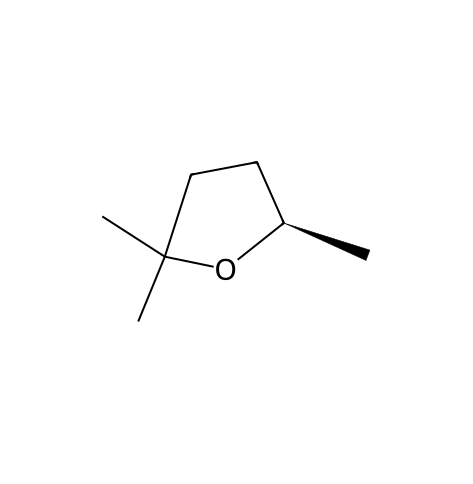 C[C@@H]1CCC(C)(C)O1